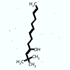 C/C=C/CC/C=C/CC/C(O)=C/C(C)(C)C